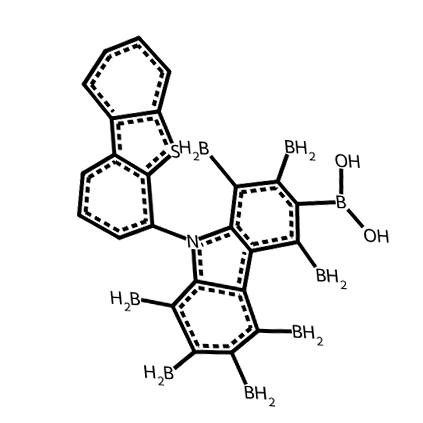 Bc1c(B)c(B)c2c(c1B)c1c(B)c(B(O)O)c(B)c(B)c1n2-c1cccc2c1sc1ccccc12